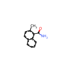 Cc1ccc2ccccc2c1C(N)=O